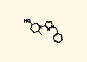 CC1CCC(O)CN1c1ccn(Cc2ccccc2)n1